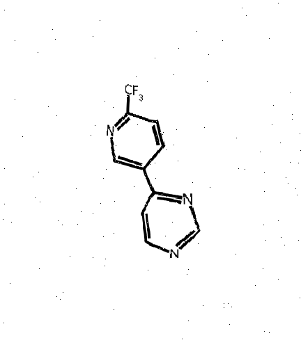 FC(F)(F)c1ccc(-c2ccncn2)cn1